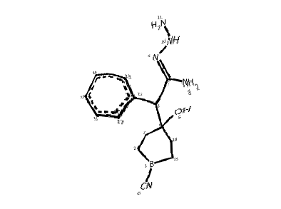 N#CB1CCC(O)(C(/C(N)=N/NN)c2ccccc2)CC1